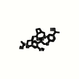 CCCc1cc(Cl)ccc1C1COc2ccc(C(C)O)cc2N(CC2CCC2C(/C=C/CCN(C)C(C)=O)OC)C1